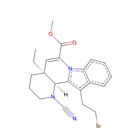 CC[C@]12C=C(C(=O)OC)n3c(c(CCBr)c4ccccc43)[C@H]1N(C#N)CCC2